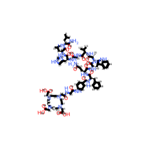 CC(C)C[C@H](NC(=O)[C@H](CC(C)C)NC(=O)[C@H](Cc1c[nH]cn1)NC(=O)CNC(=O)[C@@H](NC(=O)[C@H](C)NC(=O)[C@H](Cc1c[nH]c2ccccc12)NC(=O)[C@H](CCC(N)=O)NC(=O)[C@@H](Cc1ccccc1)NC(=O)c1ccc(NC(=O)CNC(=O)CN2CCN(CC(=O)O)CCN(CC(=O)O)CCN(CC(=O)O)CC2)cc1)C(C)C)C(N)=O